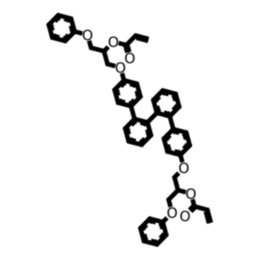 C=CC(=O)OC(COc1ccccc1)COc1ccc(-c2ccccc2-c2ccccc2-c2ccc(OCC(COc3ccccc3)OC(=O)C=C)cc2)cc1